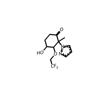 CC1(n2cccn2)C(=O)CCC(O)C1OCC(F)(F)F